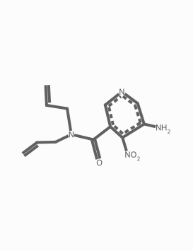 C=CCN(CC=C)C(=O)c1cncc(N)c1[N+](=O)[O-]